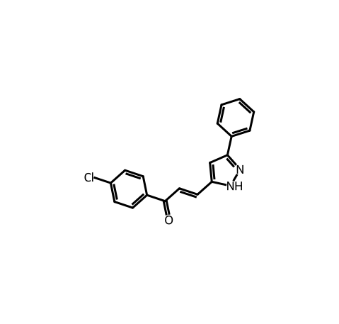 O=C(C=Cc1cc(-c2ccccc2)n[nH]1)c1ccc(Cl)cc1